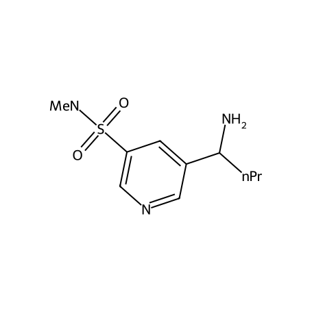 CCCC(N)c1cncc(S(=O)(=O)NC)c1